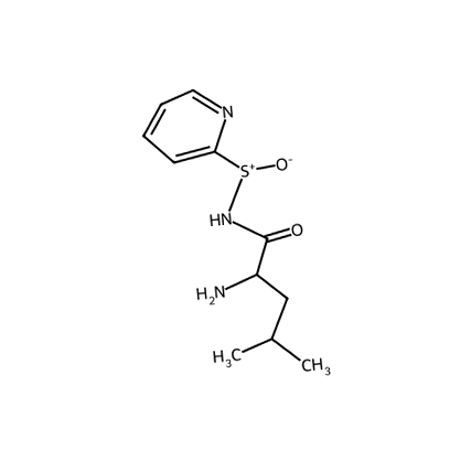 CC(C)CC(N)C(=O)N[S+]([O-])c1ccccn1